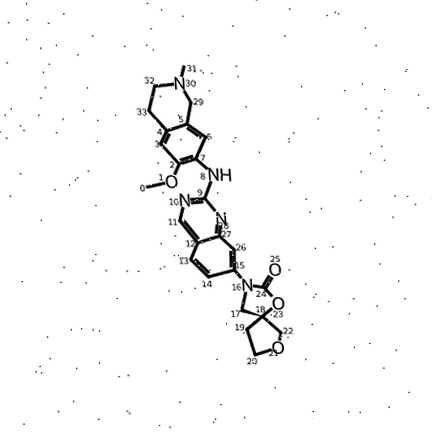 COc1cc2c(cc1Nc1ncc3ccc(N4C[C@@]5(CCOC5)OC4=O)cc3n1)CN(C)CC2